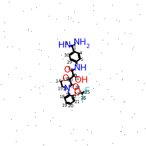 N=C(N)c1ccc(NC(=O)[C@H](O)[C@H]2OCCN(c3ccccc3OC(F)F)C2=O)cc1